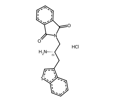 Cl.N[C@@H](Cc1csc2ccccc12)CN1C(=O)c2ccccc2C1=O